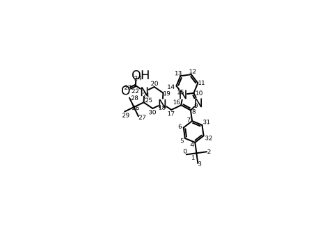 CC(C)(C)c1ccc(-c2nc3ccccn3c2CN2CCN(C(=O)O)C(C(C)(C)C)C2)cc1